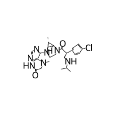 CC(C)NC[C@@H](C(=O)N1CCN(c2ncnc3c2N(C)CC(=O)N3)C2[C@@H]1[C@H]2C)c1ccc(Cl)cc1